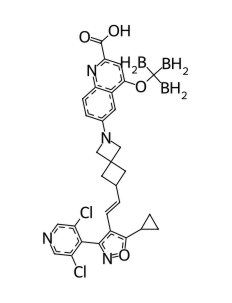 BC(B)(B)Oc1cc(C(=O)O)nc2ccc(N3CC4(CC(/C=C/c5c(-c6c(Cl)cncc6Cl)noc5C5CC5)C4)C3)cc12